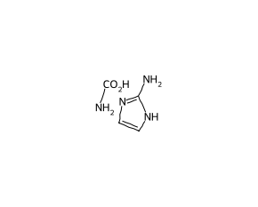 NC(=O)O.Nc1ncc[nH]1